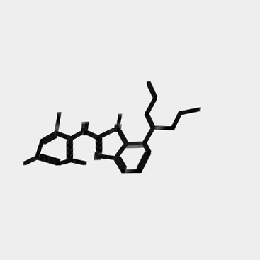 CCCC(CCC)c1cccc2nc(Nc3c(C)cc(C)cc3C)n(C)c12